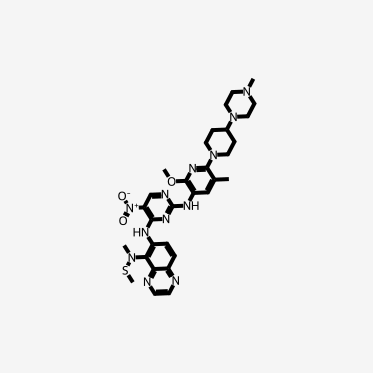 COc1nc(N2CCC(N3CCN(C)CC3)CC2)c(C)cc1Nc1ncc([N+](=O)[O-])c(Nc2ccc3nccnc3c2N(C)SC)n1